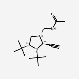 C#C[C@@H]1[C@@H](CNC(C)=O)C[C@@H](C(C)(C)C)N1C(C)(C)C